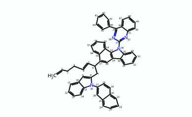 C=CCC/C=C/C(Cc1cc2ccccc2n1-c1ccc2ccccc2c1)c1cc2c3ccccc3n(-c3nc(-c4ccccc4)c4ccccc4n3)c2c2ccccc12